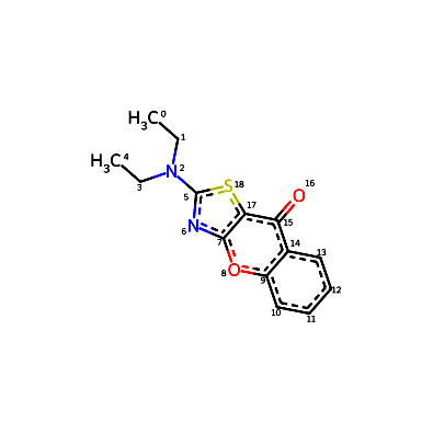 CCN(CC)c1nc2oc3ccccc3c(=O)c2s1